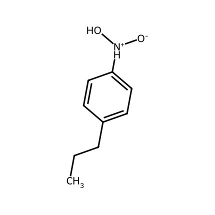 CCCc1ccc([NH+]([O-])O)cc1